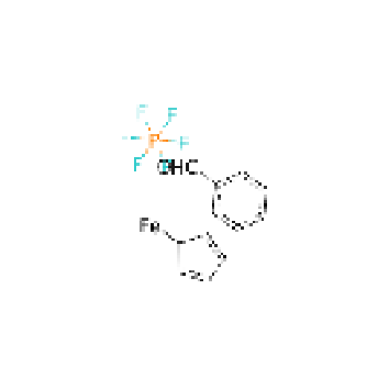 F[P-](F)(F)(F)(F)F.O=Cc1ccccc1.[Fe][CH]1C=CC=C1